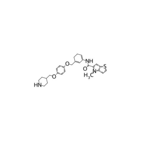 Cn1c(C(=O)NC2=CCCC(COc3ccc(OCC4CCNCC4)cc3)=C2)cc2sccc21